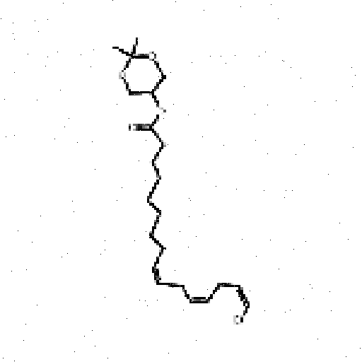 CC/C=C\C/C=C\C/C=C\CCCCCCCC(=O)OC1COC(C)(C)OC1